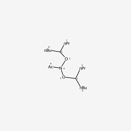 CCCCC(CCC)ON(OC(CCC)CCCC)C(C)=O